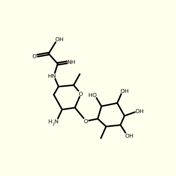 CC1OC(OC2C(C)C(O)C(O)C(O)C2O)C(N)CC1NC(=N)C(=O)O